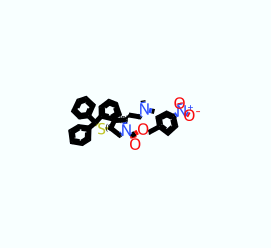 CN(C)CC[C@@H]1C[C@H](SC(c2ccccc2)(c2ccccc2)c2ccccc2)CN1C(=O)OCc1ccc([N+](=O)[O-])cc1